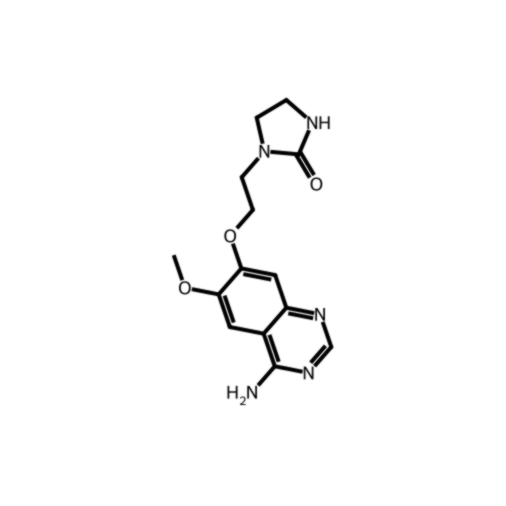 COc1cc2c(N)ncnc2cc1OCCN1CCNC1=O